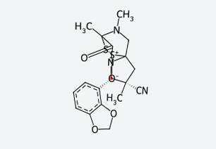 CN1CC23C[C@](C)(C#N)[C@H](c4cccc5c4OCO5)N2C(=O)C1(C)S[S+]3[O-]